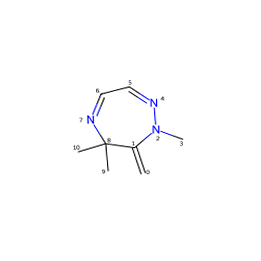 C=C1N(C)N=CC=NC1(C)C